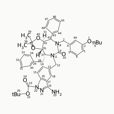 CCCCOc1cccc(CN2C(=O)N(Cc3ccc4c(c3)c(N)nn4C(=O)OC(C)(C)C)[C@H](Cc3ccccc3)[C@@H]3OC(C)(C)O[C@H]3C2c2ccccc2)c1